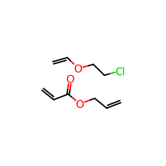 C=CCOC(=O)C=C.C=COCCCl